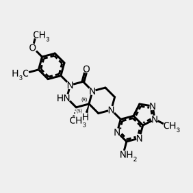 COc1ccc(N2N[C@@H](C)[C@H]3CN(c4nc(N)nc5c4cnn5C)CCN3C2=O)cc1C